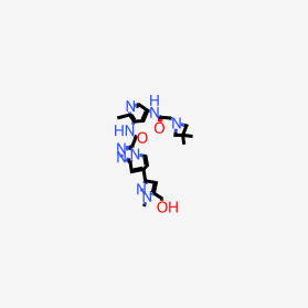 Cc1ncc(NC(=O)CN2CC(C)(C)C2)cc1NC(=O)c1nnc2cc(-c3cc(CO)n(C)n3)ccn12